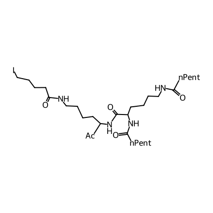 CCCCCC(=O)NCCCCC(NC(=O)CCCCC)C(=O)NC(CCCCNC(=O)CCCCI)C(C)=O